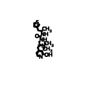 CC(Cc1ccsc1)NC(=O)NC[C@H](Cc1ccnc(O)c1)N(C)C